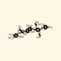 COc1cc(S(=O)(=O)O)c(C)cc1/N=N/c1c(C(N)=O)nn(-c2ccc3c(O)c(/N=N/c4cc(OCCO)c(/N=N/c5ccc(C)cc5S(=O)(=O)O)cc4OCCO)c(S(=O)(=O)O)cc3c2)c1O